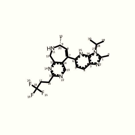 Cc1nc2ccc(C3=C[C@@H](C)NCc4nc(CCC(F)(F)F)ncc43)nc2n1C(C)C